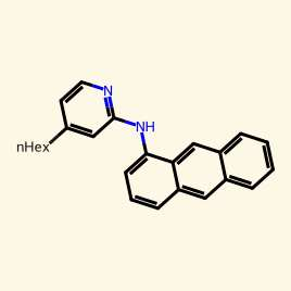 CCCCCCc1ccnc(Nc2cccc3cc4ccccc4cc23)c1